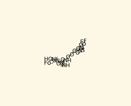 C[C@@H]1CN(CC(=O)N2CC(C)(C)c3nc(CO)c(Cc4ccc(F)cc4)cc32)[C@@H](C(=O)NCCOCCOCCOCCOCCOc2c(-c3csc(N4CCOCC4)n3)ccc(F)c2F)CN1